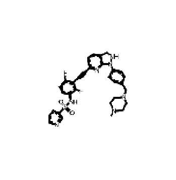 CN1CCN(Cc2ccc(N3NCc4ccc(C#Cc5c(F)ccc(NS(=O)(=O)c6cccnc6)c5F)nc43)cc2)CC1